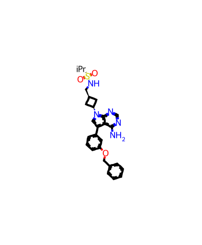 CC(C)S(=O)(=O)NC[C@H]1C[C@H](n2cc(-c3cccc(OCc4ccccc4)c3)c3c(N)ncnc32)C1